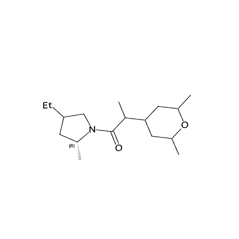 CCC1C[C@@H](C)N(C(=O)C(C)C2CC(C)OC(C)C2)C1